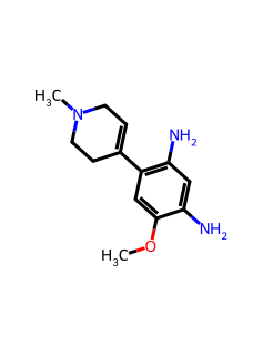 COc1cc(C2=CCN(C)CC2)c(N)cc1N